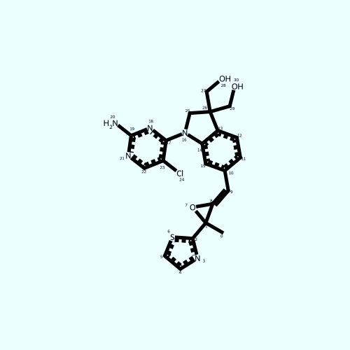 CC1(c2nccs2)OC1=Cc1ccc2c(c1)N(c1nc(N)ncc1Cl)CC2(CO)CO